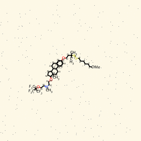 COCCCCCCSSC(C)(C)CCOc1ccc2c(c1)CCC1C2CCC2(C)C(OCCN(C)CCOC(C(F)(F)F)(C(F)(F)F)C(F)(F)F)CCC12